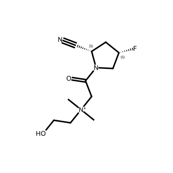 C[N+](C)(CCO)CC(=O)N1C[C@@H](F)C[C@H]1C#N